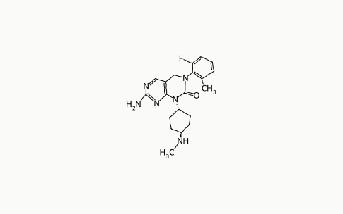 CN[C@H]1CC[C@H](N2C(=O)N(c3c(C)cccc3F)Cc3cnc(N)nc32)CC1